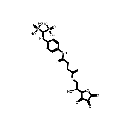 O=C(CCC(=O)OC[C@H](O)C1OC(=O)C(=O)C1=O)Nc1ccc(NC(P(=O)(O)O)P(=O)(O)O)cc1